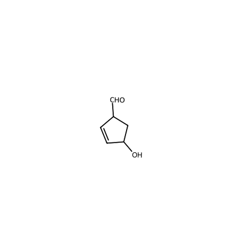 O=CC1C=CC(O)C1